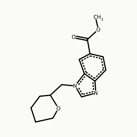 COC(=O)c1ccc2ncn(CC3CCCCO3)c2c1